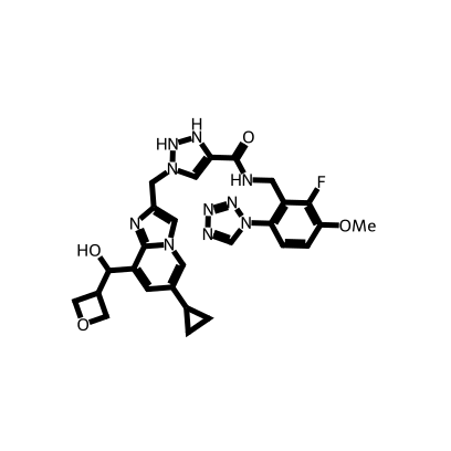 COc1ccc(-n2cnnn2)c(CNC(=O)C2=CN(Cc3cn4cc(C5CC5)cc(C(O)C5COC5)c4n3)NN2)c1F